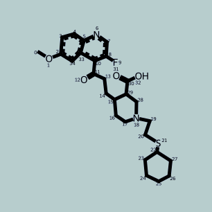 COc1ccc2ncc(F)c(C(=O)CCC3CCN(CCSC4CCCCC4)CC3C(=O)O)c2c1